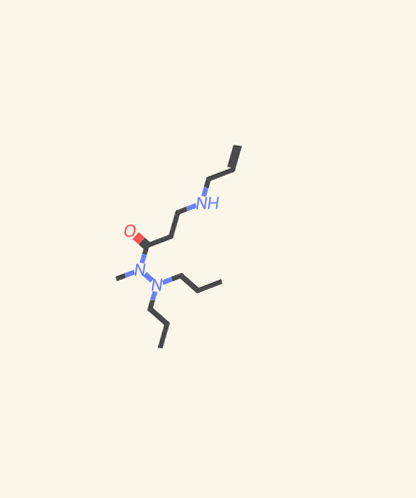 C=CCNCCC(=O)N(C)N(CCC)CCC